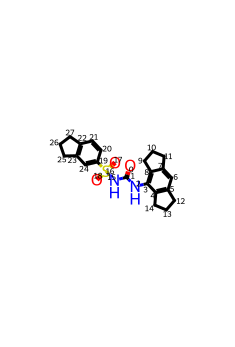 O=C(Nc1c2c(cc3c1CCC3)CCC2)NS(=O)(=O)c1ccc2c(c1)CCC2